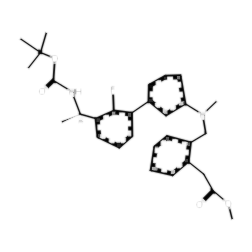 COC(=O)Cc1ccccc1CN(C)c1cccc(-c2cccc([C@@H](C)NC(=O)OC(C)(C)C)c2F)c1